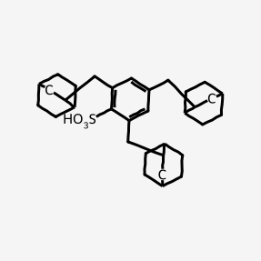 O=S(=O)(O)c1c(CC2CC3CCC2CC3)cc(CC2CC3CCC2CC3)cc1CC1CC2CCC1CC2